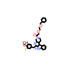 COc1ccc(Cc2nc3c(c4c2[nH]c2ccccc24)CCN(C(=O)COCCOCc2ccccc2)C3)cc1F